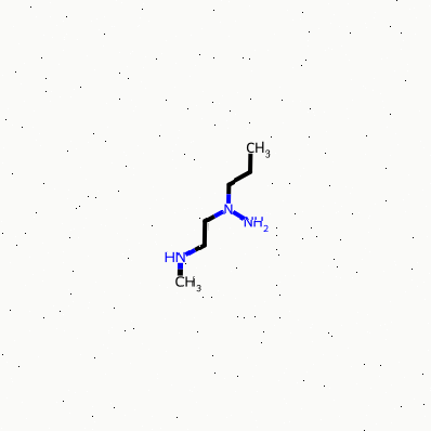 CCCN(N)CCNC